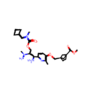 COC(=O)C12CCC(COc3ccc(/C(N)=C(\COC(=O)N(C)CC4CCC4)N(C)N)nc3C)(C1)C2